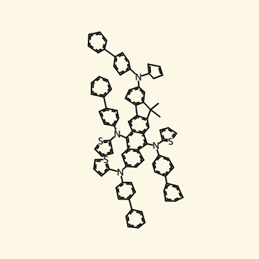 CC1(C)c2cc(N(C3=CC=CC3)c3ccc(-c4ccccc4)cc3)ccc2-c2cc3c(N(c4ccc(-c5ccccc5)cc4)c4cccs4)c4cc(N(c5ccc(-c6ccccc6)cc5)c5cccs5)ccc4c(N(c4ccc(-c5ccccc5)cc4)c4cccs4)c3cc21